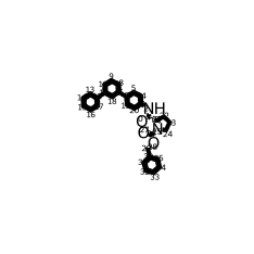 O=C(Nc1ccc(-c2cccc(-c3ccccc3)c2)cc1)[C@@H]1CCCN1C(=O)OCc1ccccc1